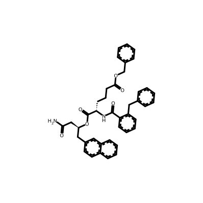 NC(=O)C[C@H](Cc1ccc2ccccc2c1)OC(=O)[C@H](CCCC(=O)OCc1ccccc1)NC(=O)c1ccccc1Cc1ccccc1